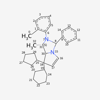 Cc1ccccc1N1C(c2ccccc2)N2C=CC(C3CCCCC3)(C3CCCC3)C2[C@@H]1C